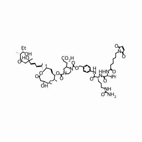 CC[C@H](O)[C@@H](C)[C@H]1O[C@@H]1CC(C)(O)/C=C/C=C(\C)[C@H]1OC(=O)C[C@H](O)CC[C@H](C)[C@@H](OC(=O)N2CCN(C(=O)OCc3ccc(NC(=O)[C@H](CCCNC(N)=O)NC(=O)[C@@H](NC(=O)CCCCCN4C(=O)C=CC4=O)C(C)C)cc3)C(CCC(=O)O)C2)/C=C/[C@@H]1C